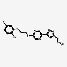 O=C(O)Cn1nnc(-c2cnc(OCCOc3cc(F)ccc3Br)cn2)n1